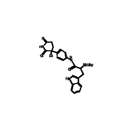 CCC1(c2ccc(NC(=O)C(Cc3c[nH]c4ccccc34)NC(C)=O)cc2)CCC(=O)NC1=O